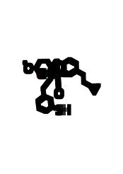 COC1CCC2(CC1)Cc1ccc(CCC3CC3)cc1C21NC(=O)N(Cc2cccc(S)c2)C1=O